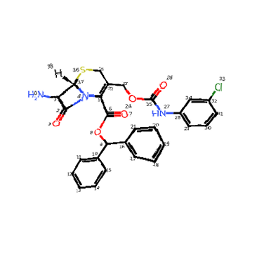 NC1C(=O)N2C(C(=O)OC(c3ccccc3)c3ccccc3)=C(COC(=O)Nc3cccc(Cl)c3)CS[C@@H]12